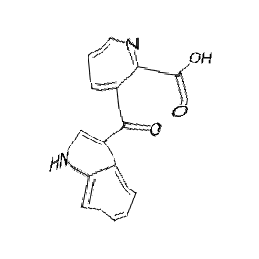 O=C(O)c1ncccc1C(=O)c1c[nH]c2ccccc12